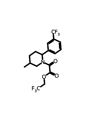 CC1CCC(c2cccc(C(F)(F)F)c2)N(C(=O)C(=O)OCC(F)(F)F)C1